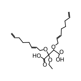 C=CCCCC=CCOC(C(=O)O)C(OCC)(OCC=CCCCC=C)C(=O)O